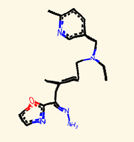 CCN(C/C=C(\C)C(=NN)c1ncco1)Cc1ccc(C)nc1